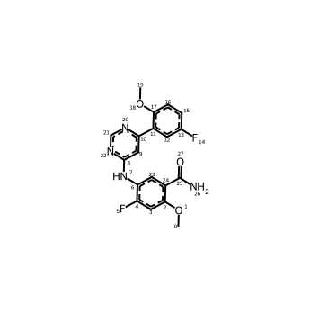 COc1cc(F)c(Nc2cc(-c3cc(F)ccc3OC)ncn2)cc1C(N)=O